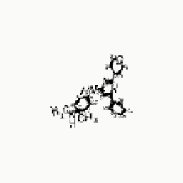 CNC1(C)C=CC(Nc2cc(-c3ccccc3)nc(C3CCOCC3)n2)=CC1